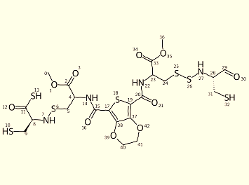 COC(=O)C(CSN[C@@H](CS)C(=O)S)NC(=O)c1sc(C(=O)NC(CSSN[C@H](C=O)CS)C(=O)OC)c2c1OCCO2